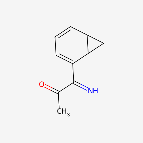 CC(=O)C(=N)C1=CC=CC2CC12